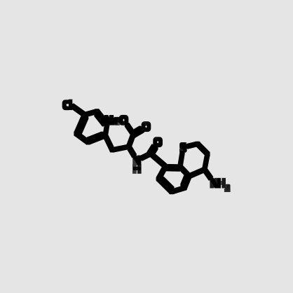 COC(=O)C(Cc1ccc(Cl)cc1)NC(=O)c1cccc2c1SCCC2N